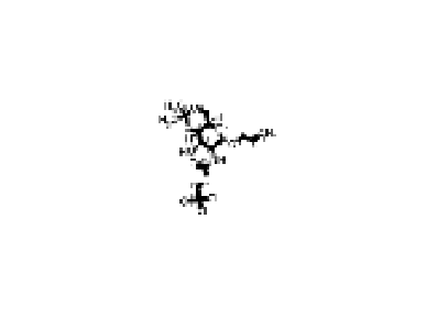 C=CCO[C@H]1O[C@@H]2COC(C)(C)O[C@H]2[C@H](O)[C@H]1NC(=O)OCC(Cl)(Cl)Cl